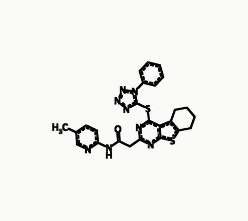 Cc1ccc(NC(=O)Cc2nc(Sc3nnnn3-c3ccccc3)c3c4c(sc3n2)CCCC4)nc1